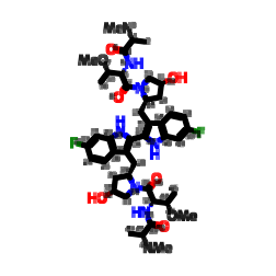 CN[C@@H](C)C(=O)N[C@H](C(=O)N1C[C@@H](O)C[C@H]1Cc1c(-c2[nH]c3cc(F)ccc3c2C[C@@H]2C[C@H](O)CN2C(=O)[C@@H](NC(=O)[C@H](C)NC)[C@@H](C)OC)[nH]c2cc(F)ccc12)[C@@H](C)OC